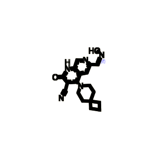 N#Cc1c(N2CCC3(CCC3)CC2)c2cc(/C=N\O)ncc2[nH]c1=O